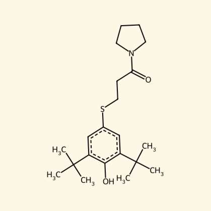 CC(C)(C)c1cc(SCCC(=O)N2CCCC2)cc(C(C)(C)C)c1O